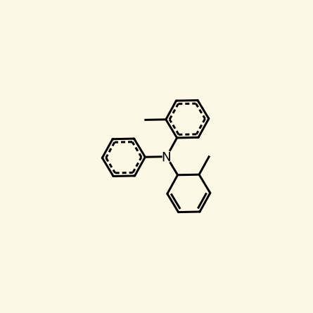 Cc1ccccc1N(c1ccccc1)C1C=CC=CC1C